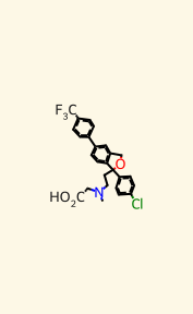 CN(CCC1(c2ccc(Cl)cc2)OCc2cc(-c3ccc(C(F)(F)F)cc3)ccc21)CC(=O)O